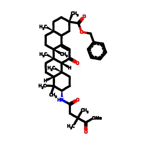 COC(=O)C(C)(C)CC(=O)N[C@H]1CC[C@]2(C)[C@H]3C(=O)C=C4C5C[C@@](C)(C(=O)OCc6ccccc6)CC[C@]5(C)CC[C@@]4(C)[C@]3(C)CC[C@H]2C1(C)C